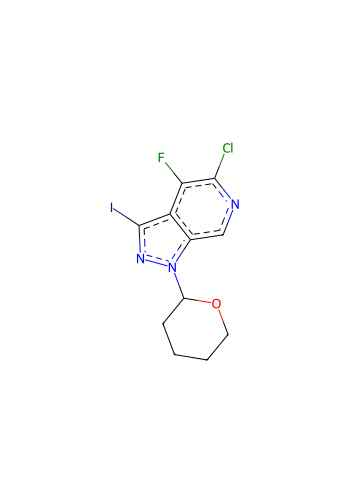 Fc1c(Cl)ncc2c1c(I)nn2C1CCCCO1